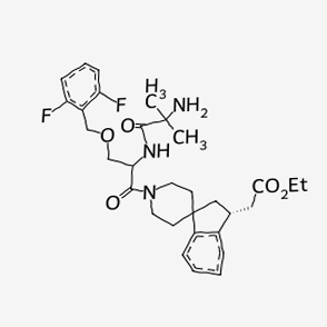 CCOC(=O)C[C@H]1CC2(CCN(C(=O)C(COCc3c(F)cccc3F)NC(=O)C(C)(C)N)CC2)c2ccccc21